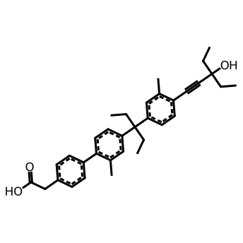 CCC(O)(C#Cc1ccc(C(CC)(CC)c2ccc(-c3ccc(CC(=O)O)cc3)c(C)c2)cc1C)CC